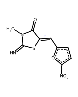 CN1C(=N)S/C(=C\c2ccc([N+](=O)[O-])o2)C1=O